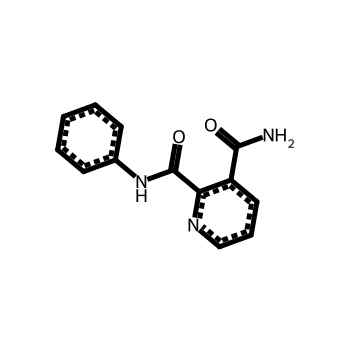 NC(=O)c1cccnc1C(=O)Nc1ccccc1